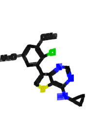 COc1cc(OC)c(Cl)c(-c2csc3c(NC4CC4)ncnc23)c1